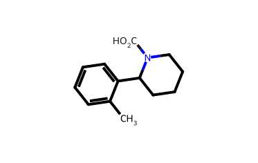 Cc1ccccc1C1CCCCN1C(=O)O